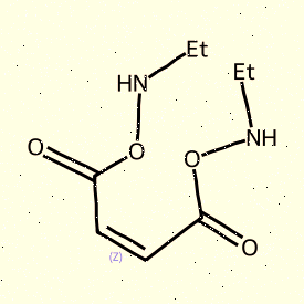 CCNOC(=O)/C=C\C(=O)ONCC